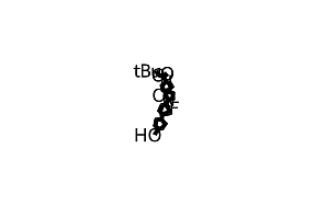 CC(C)(C)OC(=O)N1CCC2(CC1)CCN(c1ccc(C3CCC(O)CC3)cc1F)C2=O